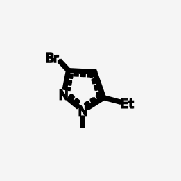 CCc1cc(Br)nn1C